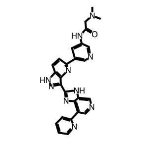 CN(C)CC(=O)Nc1cncc(-c2ccc3[nH]nc(-c4nc5c(-c6ccccn6)cncc5[nH]4)c3n2)c1